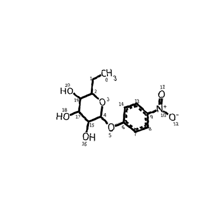 CCC1OC(Oc2ccc([N+](=O)[O-])cc2)C(O)C(O)C1O